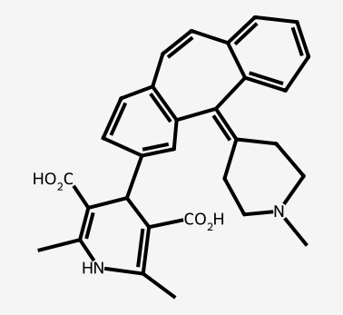 CC1=C(C(=O)O)C(c2ccc3c(c2)C(=C2CCN(C)CC2)c2ccccc2C=C3)C(C(=O)O)=C(C)N1